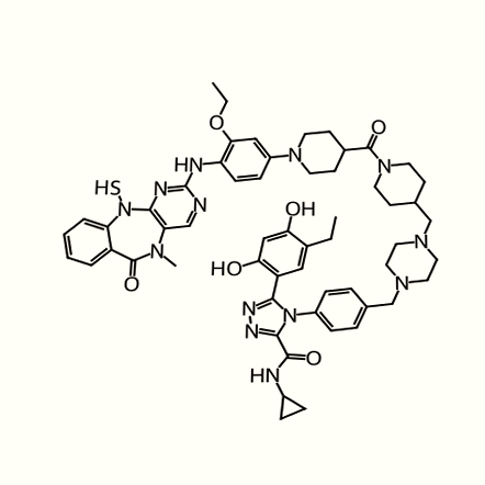 CCOc1cc(N2CCC(C(=O)N3CCC(CN4CCN(Cc5ccc(-n6c(C(=O)NC7CC7)nnc6-c6cc(CC)c(O)cc6O)cc5)CC4)CC3)CC2)ccc1Nc1ncc2c(n1)N(S)c1ccccc1C(=O)N2C